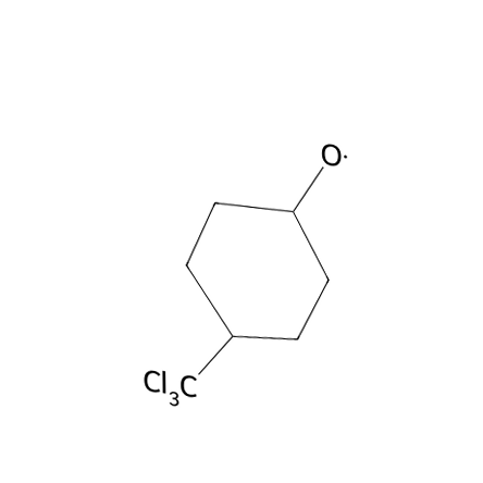 [O]C1CCC(C(Cl)(Cl)Cl)CC1